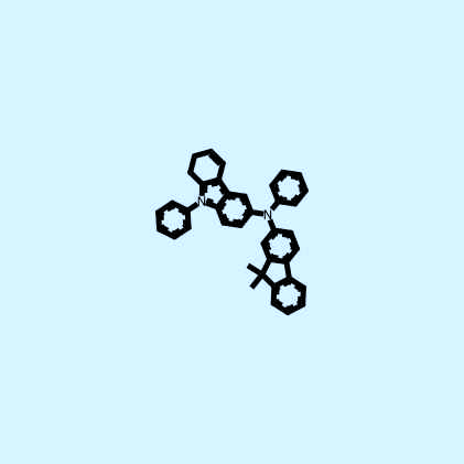 CC1(C)c2ccccc2-c2ccc(N(c3ccccc3)c3ccc4c(c3)c3c(n4-c4ccccc4)CCC=C3)cc21